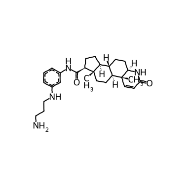 C[C@]12C=CC(=O)N[C@@H]1CC[C@@H]1[C@@H]2CC[C@]2(C)[C@@H](C(=O)Nc3cccc(NCCCN)c3)CC[C@@H]12